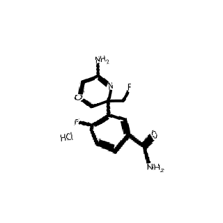 Cl.NC(=O)c1ccc(F)c(C2(CF)COCC(N)=N2)c1